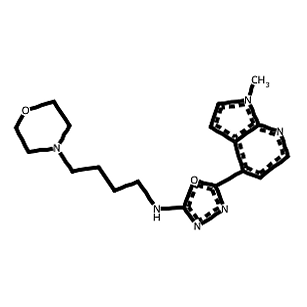 Cn1ccc2c(-c3nnc(NCCCCN4CCOCC4)o3)ccnc21